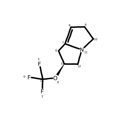 FC(F)(F)O[C@H]1CC2=CCCN2C1